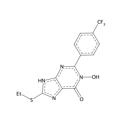 CCSc1nc2c(=O)n(O)c(-c3ccc(C(F)(F)F)cc3)nc2[nH]1